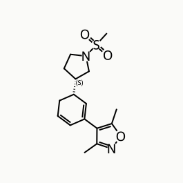 Cc1noc(C)c1C1=CC([C@@H]2CCN(S(C)(=O)=O)C2)CC=C1